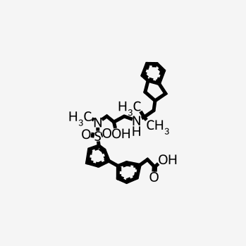 CN(CC(O)CNC(C)(C)CC1Cc2ccccc2C1)S(=O)(=O)c1cccc(-c2cccc(CC(=O)O)c2)c1